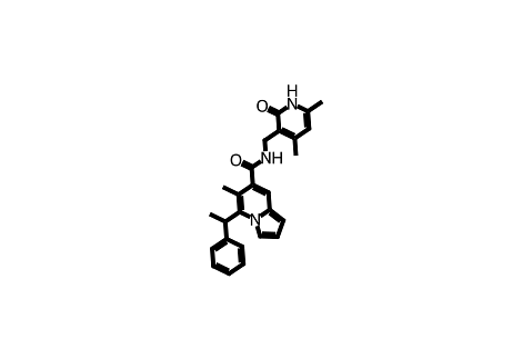 Cc1cc(C)c(CNC(=O)c2cc3cccn3c(C(C)c3ccccc3)c2C)c(=O)[nH]1